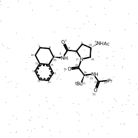 CC(=O)N[C@H]1CC(C(=O)N[C@@H]2CCCc3ccccc32)N(C(=O)[C@@H](NC(=O)C(C)C)C(C)(C)C)C1